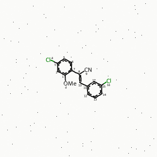 COc1cc(Cl)ccc1C(C#N)=Cc1cccc(Cl)c1